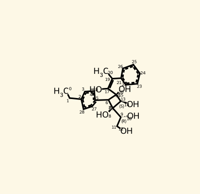 CCc1ccc(C2[C@@](O)([C@H](O)CO)[C@H](O)[C@@]2(O)C(O)=C(C)c2ccccc2)cc1